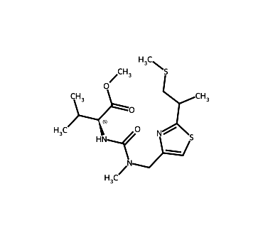 COC(=O)[C@@H](NC(=O)N(C)Cc1csc(C(C)CSC)n1)C(C)C